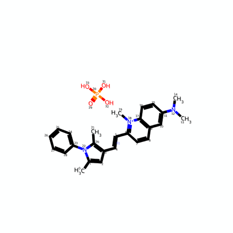 Cc1cc(/C=C/c2ccc3cc(N(C)C)ccc3[n+]2C)c(C)n1-c1ccccc1.O=P(O)(O)O